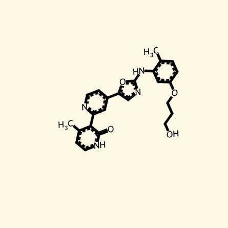 Cc1ccc(OCCCO)cc1Nc1ncc(-c2ccnc(-c3c(C)cc[nH]c3=O)c2)o1